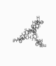 Cc1nc(C(=O)NC(C)C)ccc1-c1ccc(C[C@H](NC(=O)[C@H]2CC[C@H](CNC(=O)OC(C)(C)C)CC2)C(=O)Nc2ccc3c(=O)[nH][nH]c3c2)cc1